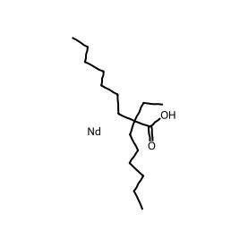 CCCCCCCC(CC)(CCCCCC)C(=O)O.[Nd]